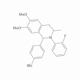 COc1cc2c(cc1OC)C(c1ccc(C(C)(C)C)cc1)N(c1ccccc1F)C(C)C2